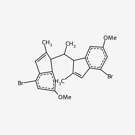 COc1cc(Br)c2c(c1)C(C(C)C1C(C)=Cc3c(Br)cc(OC)cc31)C(C)=C2